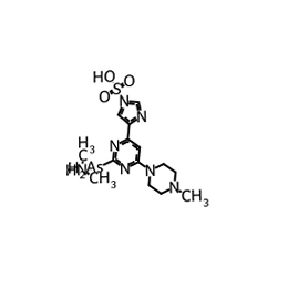 CN1CCN(c2cc(-c3cn(S(=O)(=O)O)cn3)nc([AsH2])n2)CC1.CNC